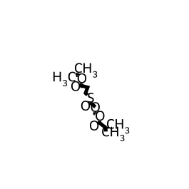 CC(C)OC(=O)CCSC(=O)OCOC(=O)C(C)C